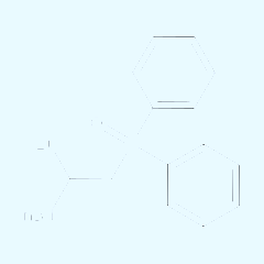 CCCCC(CC)CP(=O)(c1ccccc1)c1ccccc1